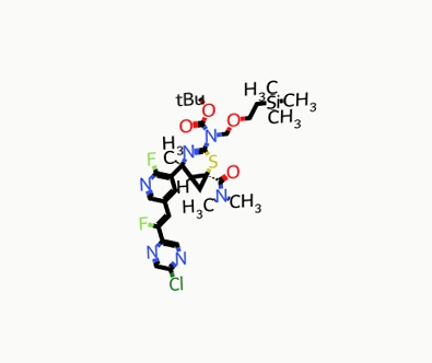 CN(C)C(=O)[C@]12C[C@H]1[C@@](C)(c1cc(/C=C(\F)c3cnc(Cl)cn3)cnc1F)N=C(N(COCC[Si](C)(C)C)C(=O)OC(C)(C)C)S2